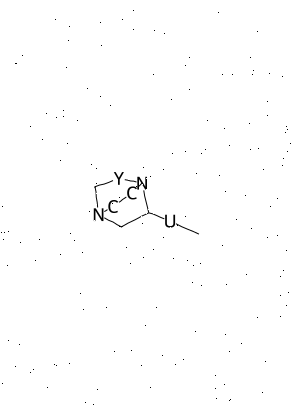 [CH3][U][CH]1CN2CC[N]1[Y][CH2]2